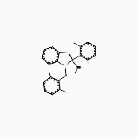 COC(=O)C1(c2c(F)cccc2F)Nc2ccccc2N1Cc1c(F)cccc1F